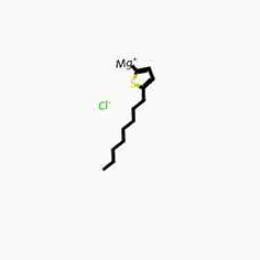 CCCCCCCCc1cc[c]([Mg+])s1.[Cl-]